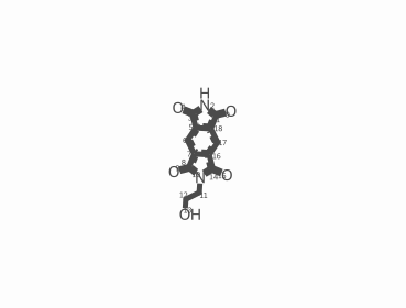 O=c1[nH]c(=O)c2cc3c(=O)n(CCO)c(=O)c3cc12